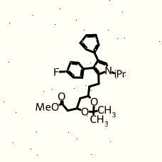 COC(=O)CC1CC(CCc2c(-c3ccc(F)cc3)c(-c3ccccc3)cn2C(C)C)OC(C)(C)O1